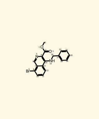 COC(=O)c1ncc2c(Br)cccc2c1NCc1ccccc1